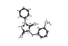 Cc1cccc(Cn2c(=O)sn(-c3ccccc3)c2=O)c1